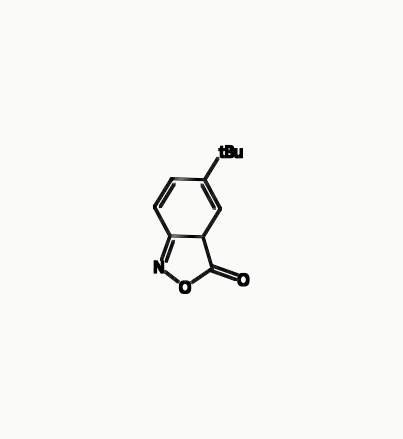 CC(C)(C)C1=CC2C(=O)ON=C2C=C1